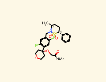 CNC(=O)COC1(c2cc(F)c(CN3[C@@H](C)CC[C@H](c4ccccc4)S3(=O)=O)cc2F)CCOCC1